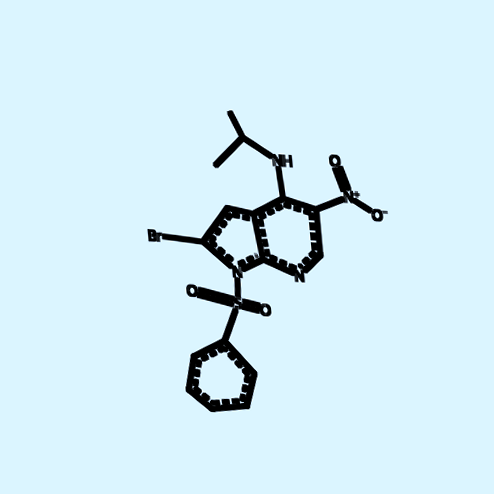 CC(C)Nc1c([N+](=O)[O-])cnc2c1cc(Br)n2S(=O)(=O)c1ccccc1